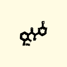 CC(=O)Nc1cccc(C(=O)C(Br)c2ccnc(Cl)n2)c1F